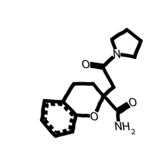 NC(=O)C1(CC(=O)N2CCCC2)CCc2ccccc2O1